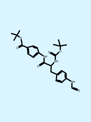 CC(C)(C)OC(=O)NC(Cc1ccc(NC=O)cc1)C(=O)Nc1ccc(C(=O)OC(C)(C)C)cc1